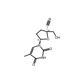 Cc1cn([C@H]2CC[C@@](C#N)(CO)O2)c(=O)[nH]c1=O